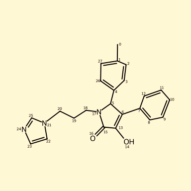 Cc1ccc(C2C(c3ccccc3)=C(O)C(=O)N2CCCn2ccnc2)cc1